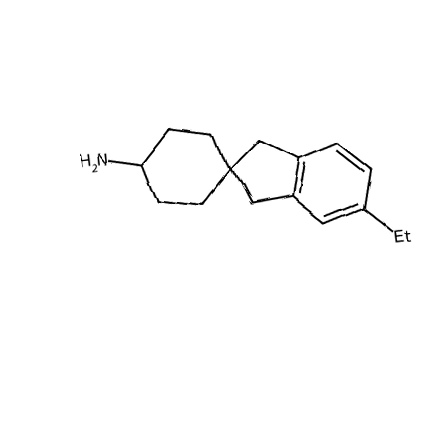 CCc1ccc2c(c1)CC1(CCC(N)CC1)C2